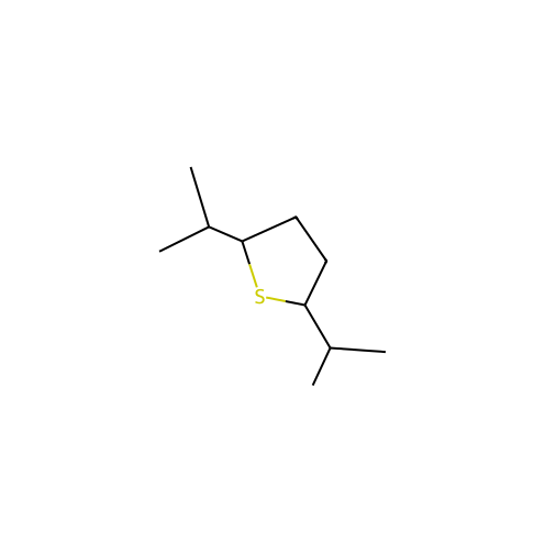 CC(C)C1CCC(C(C)C)S1